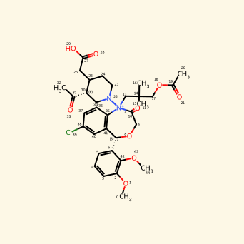 COc1cccc([C@H]2OCC(=O)[N+](CC(C)(C)COC(C)=O)(N3CCC(CC(=O)O)[C@@H](C(C)=O)C3)c3ccc(Cl)cc32)c1OC